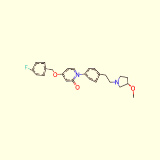 CO[C@@H]1CCN(CCc2ccc(-n3ccc(OCc4ccc(F)cc4)cc3=O)cc2)C1